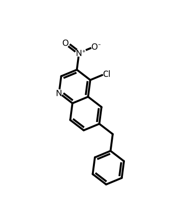 O=[N+]([O-])c1cnc2ccc(Cc3ccccc3)cc2c1Cl